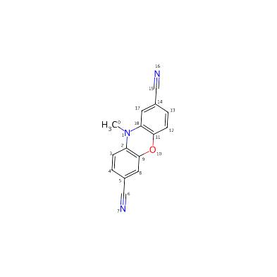 CN1c2ccc(C#N)cc2Oc2ccc(C#N)cc21